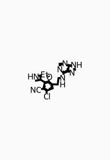 CCOc1c(CCNc2ncnc3[nH]cnc23)cc(Cl)c(C#N)c1C1CNC1